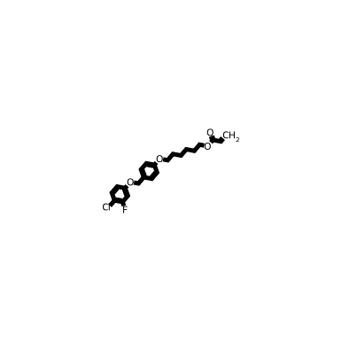 C=CC(=O)OCCCCCCOc1ccc(COc2ccc(Cl)c(F)c2)cc1